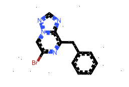 Brc1cn2ncnc2c(Cc2ccccc2)n1